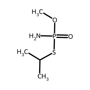 COP(N)(=O)SC(C)C